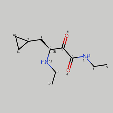 CCNC(=O)C(=O)[C@H](CC1CC1)NCC